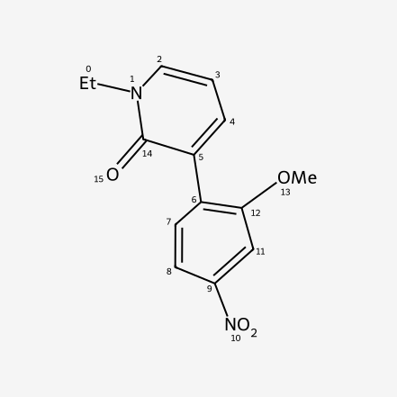 CCn1cccc(-c2ccc([N+](=O)[O-])cc2OC)c1=O